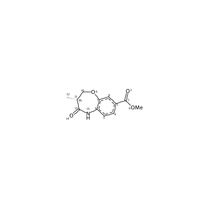 COC(=O)c1ccc2c(c1)OC[C@@H](C)C(=O)N2